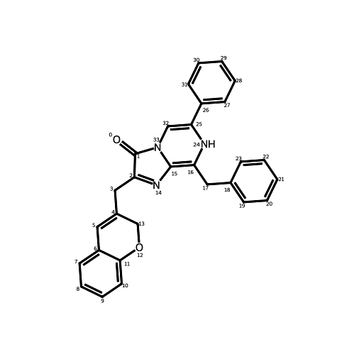 O=c1c(CC2=Cc3ccccc3OC2)nc2c(Cc3ccccc3)[nH]c(-c3ccccc3)cn1-2